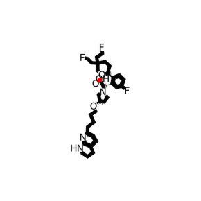 O=C(O)[C@H](c1cc(F)ccc1[C@@H]1CCC(CCF)(CCF)CO1)N1CC[C@@H](OCCCCc2ccc3c(n2)NCCC3)C1